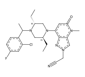 CC[C@H]1CN(C(C)c2ccc(F)cc2Cl)[C@H](CC)CN1c1cc(=O)n(C)c2cn(CC#N)nc12